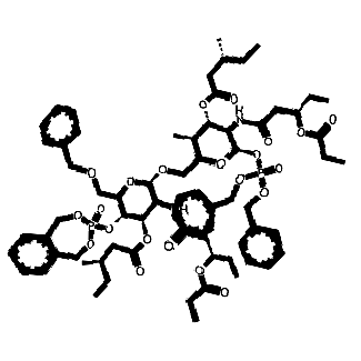 CCC(=O)O[C@H](CC)CC(=O)NC1[C@@H](OP(=O)(OCc2ccccc2)OCc2ccccc2)OC(CO[C@@H]2OC(COCc3ccccc3)[C@@H](OP3(=O)OCc4ccccc4CO3)[C@H](OC(=O)C[C@H](C)CC)C2NC(=O)C[C@@H](CC)OC(=O)CC)[C@@H](C)[C@@H]1OC(=O)C[C@H](C)CC